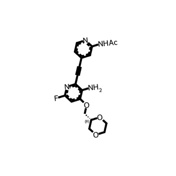 CC(=O)Nc1cc(C#Cc2nc(F)cc(OC[C@H]3COCCO3)c2N)ccn1